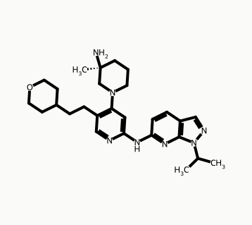 CC(C)n1ncc2ccc(Nc3cc(N4CCC[C@](C)(N)C4)c(CCC4CCOCC4)cn3)nc21